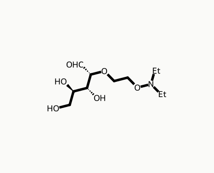 CCN(CC)OCCO[C@@H](C=O)[C@H](O)[C@H](O)CO